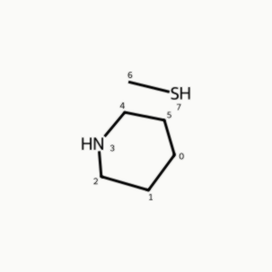 C1CCNCC1.CS